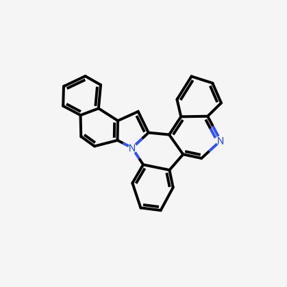 c1ccc2c(c1)ccc1c2cc2c3c4ccccc4ncc3c3ccccc3n12